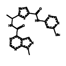 CC(NC(=O)c1ncnc2c1cnn2C)c1ncc(C(=O)Nc2cc(C(C)(C)C)ncn2)s1